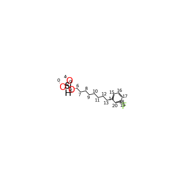 CO[SiH](OC)OCCCCCCCCc1cccc(F)c1